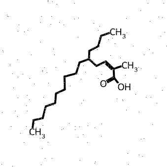 CCCCCCCCCCC(CC=C(C)C(=O)O)CCCC